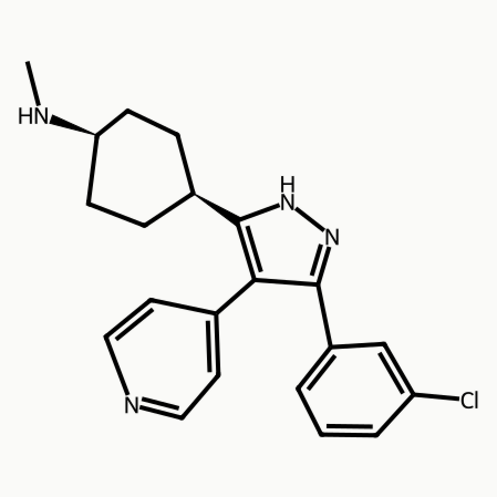 CN[C@H]1CC[C@@H](c2[nH]nc(-c3cccc(Cl)c3)c2-c2ccncc2)CC1